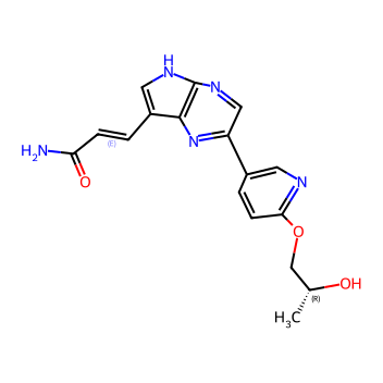 C[C@@H](O)COc1ccc(-c2cnc3[nH]cc(/C=C/C(N)=O)c3n2)cn1